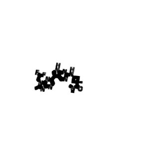 Cc1nc2ncc(-c3c[nH]c4nc(N[C@H]5C[C@@](C)(C(=O)N(C)C)C5)ncc34)nc2n1CC(F)F